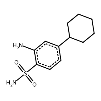 Nc1cc(C2CCCCC2)ccc1S(N)(=O)=O